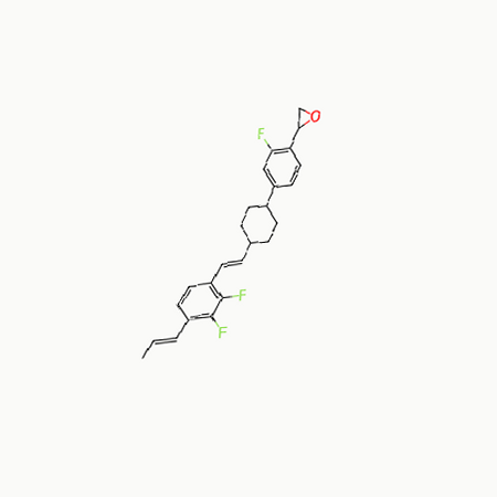 C/C=C/c1ccc(/C=C/C2CCC(c3ccc(C4CO4)c(F)c3)CC2)c(F)c1F